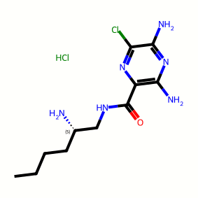 CCCC[C@H](N)CNC(=O)c1nc(Cl)c(N)nc1N.Cl